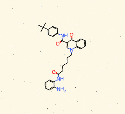 CC(C)(C)c1ccc(NC(=O)c2cn(CCCCCC(=O)Nc3ccccc3N)c3ccccc3c2=O)cc1